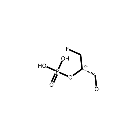 [O]C[C@@H](CF)OP(=O)(O)O